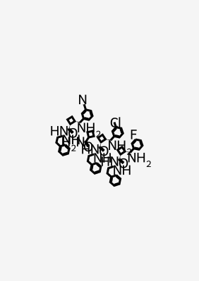 N#Cc1cccc(C(N)[C@H]2CC[C@H]2C(=O)NC2CCc3ccccc3N2)c1.NC(=O)C1CCC1.NC(c1cccc(Cl)c1)[C@H]1CC[C@H]1C(=O)NC1CCc2ccccc2N1.NC(c1cccc(F)c1)[C@H]1CC[C@H]1C(=O)NC1CCc2ccccc2N1